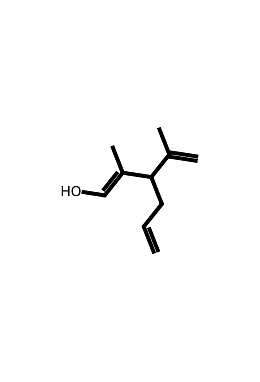 C=CCC(C(=C)C)C(C)=CO